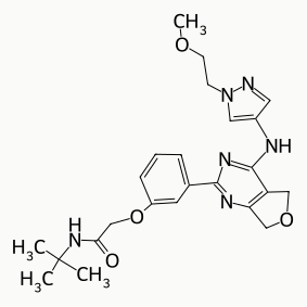 COCCn1cc(Nc2nc(-c3cccc(OCC(=O)NC(C)(C)C)c3)nc3c2COC3)cn1